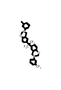 Cc1cccc(N2COc3ccc(C(c4ccc5c(c4)CN(c4cccc(C(F)(F)F)c4)CO5)(C(F)(F)F)C(F)(F)F)cc3C2)c1